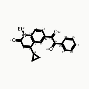 CCn1c(=O)cc(C2CC2)c2cc(C(=O)C(=O)c3ccccc3)ccc21